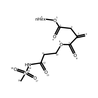 C=C(CC(=O)OCCCCCC)C(=O)OCCC(=O)NS(C)(=O)=O